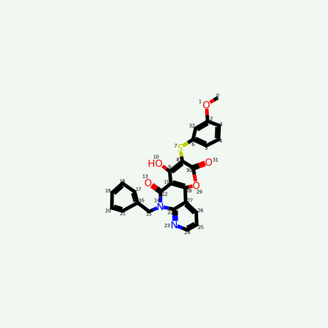 COc1cccc(Sc2c(O)c3c(=O)n(Cc4ccccc4)c4ncccc4c3oc2=O)c1